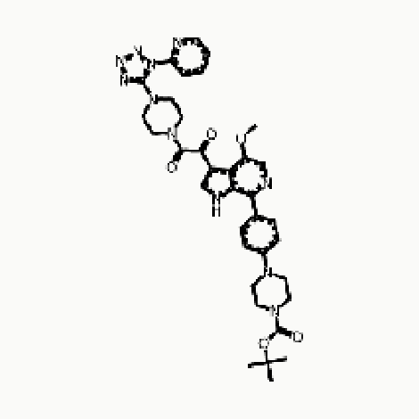 COc1cnc(-c2ccc(N3CCN(C(=O)OC(C)(C)C)CC3)cc2)c2[nH]cc(C(=O)C(=O)N3CCN(c4nnnn4-c4ccccn4)CC3)c12